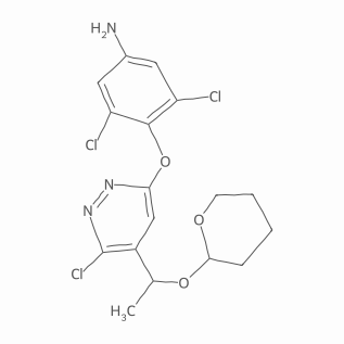 CC(OC1CCCCO1)c1cc(Oc2c(Cl)cc(N)cc2Cl)nnc1Cl